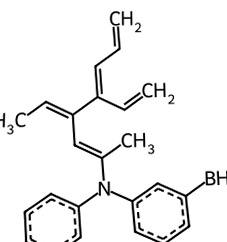 Bc1cccc(N(/C(C)=C/C(=C\C)C(/C=C)=C/C=C)c2ccccc2)c1